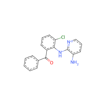 Nc1cccnc1Nc1c(Cl)cccc1C(=O)c1ccccc1